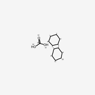 C1CCCCC1.C1CCCCC1.O=C(O)O